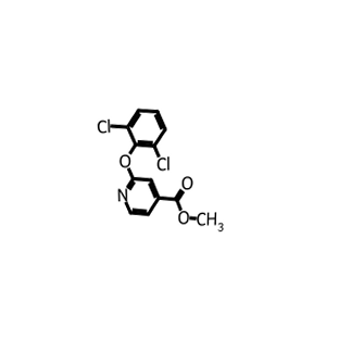 COC(=O)c1ccnc(Oc2c(Cl)cccc2Cl)c1